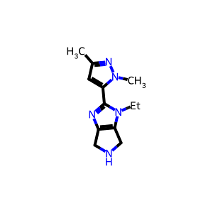 CCn1c(-c2cc(C)nn2C)nc2c1CNC2